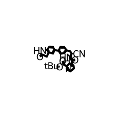 CC(C)(C)OC(=O)N1C2CCC(CC2)[C@H]1C(=O)N[C@H](C#N)Cc1ccc(-c2ccc3c(c2)CC(=O)N3)cc1